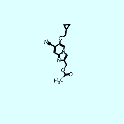 CC(=O)OCc1cn2cc(OCC3CC3)c(C#N)cc2n1